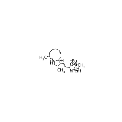 C=C1CCC/C=C\C[C@@H]2[C@@H](/C=C/[C@H](CCCCC)O[Si](C)(C)C(C)(C)C)[C@H](C)C[C@@H]2O1